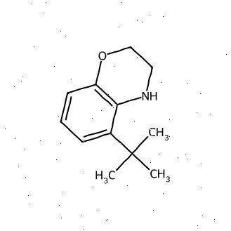 CC(C)(C)c1cccc2c1NCCO2